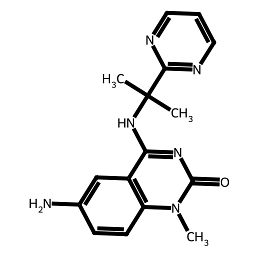 Cn1c(=O)nc(NC(C)(C)c2ncccn2)c2cc(N)ccc21